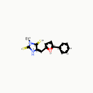 CCN1C(=S)NC(=Cc2ccc(-c3ccccc3)o2)C1=S